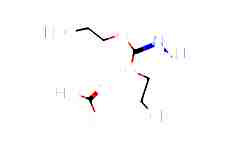 CCCOC(=NN)OCCC.O=C(O)O